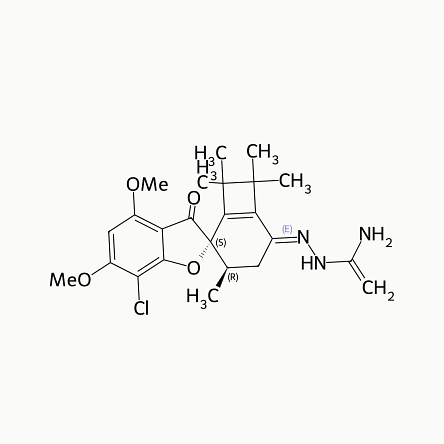 C=C(N)N/N=C1\C[C@@H](C)[C@]2(Oc3c(Cl)c(OC)cc(OC)c3C2=O)C2=C1C(C)(C)C2(C)C